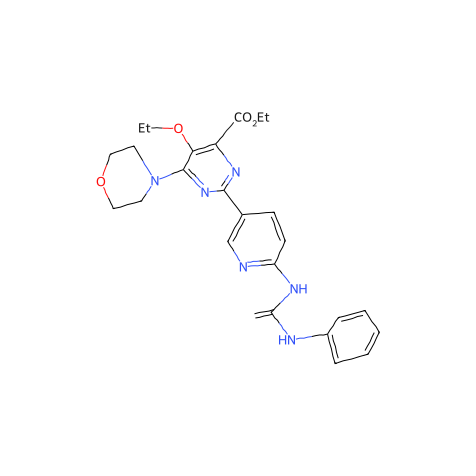 C=C(Nc1ccccc1)Nc1ccc(-c2nc(C(=O)OCC)c(OCC)c(N3CCOCC3)n2)cn1